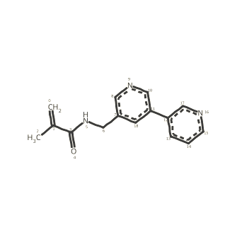 C=C(C)C(=O)NCc1cncc(-c2cccnc2)c1